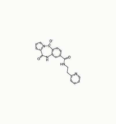 O=C(NCCc1ccccn1)c1ccc2c(c1)NC(=O)c1cccn1[S+]2[O-]